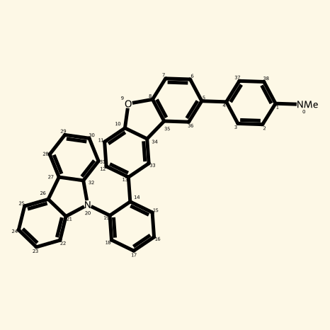 CNc1ccc(-c2ccc3oc4ccc(-c5ccccc5-n5c6ccccc6c6ccccc65)cc4c3c2)cc1